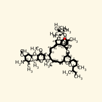 CC[C@@H](C)[C@H]1O[C@]2(C=C[C@@H]1C)C[C@@H]1C[C@@H](C/C=C(\C)[C@@H](O[C@H]3C[C@H](OC)[C@@H](O[C@H]4C[C@H](OC)[C@H](N)[C@H](C)O4)[C@H](C)O3)[C@@H](C)/C=C/C=C3\CO[C@@H]4[C@H](O[Si](C)(C)C(C)(C)C)C(C)=C[C@@H](C(=O)O1)[C@]34O)O2